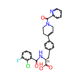 O=C(N[C@@H](Cc1ccc(C2=CCN(C(=O)c3ccccn3)CC2)cc1)C(=O)O)c1cccc(F)c1Cl